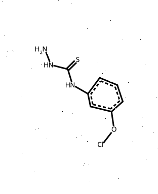 NNC(=S)Nc1cccc(OCl)c1